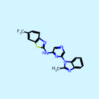 Cc1nc2ccccc2n1-c1cncc(Nc2nc3ccc(C(F)(F)F)cc3s2)n1